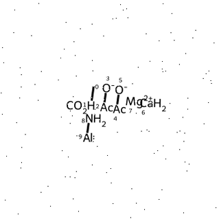 CC(=O)O.CC(=O)[O-].CC(=O)[O-].[CaH2].[Mg+2].[NH2][Al]